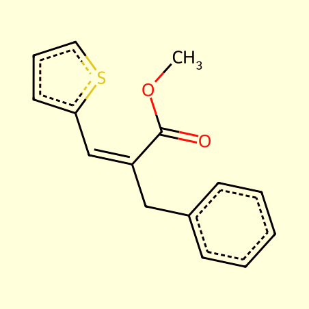 COC(=O)C(=Cc1cccs1)Cc1ccccc1